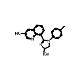 Cc1ccc(N2CC(C(C)(C)C)N=C2c2cccc3cc(C#N)cnc23)cc1